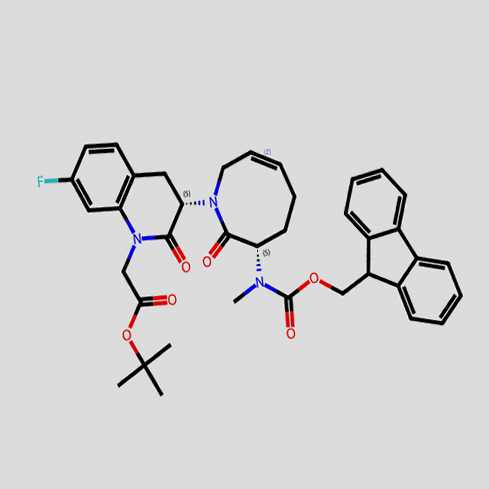 CN(C(=O)OCC1c2ccccc2-c2ccccc21)[C@H]1CC/C=C\CN([C@H]2Cc3ccc(F)cc3N(CC(=O)OC(C)(C)C)C2=O)C1=O